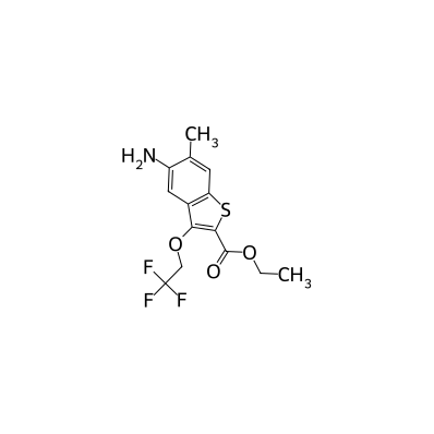 CCOC(=O)c1sc2cc(C)c(N)cc2c1OCC(F)(F)F